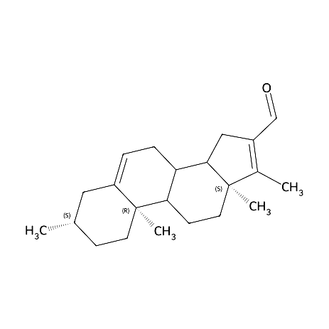 CC1=C(C=O)CC2C3CC=C4C[C@@H](C)CC[C@]4(C)C3CC[C@]12C